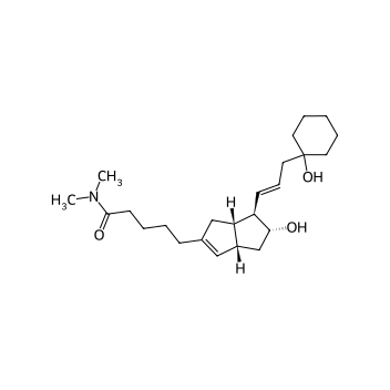 CN(C)C(=O)CCCCC1=C[C@H]2C[C@@H](O)[C@H](/C=C/CC3(O)CCCCC3)[C@H]2C1